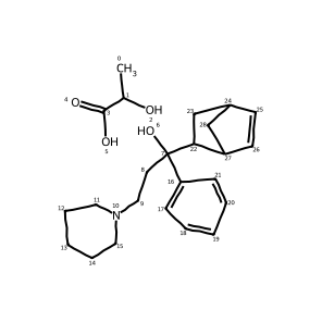 CC(O)C(=O)O.OC(CCN1CCCCC1)(c1ccccc1)C1CC2C=CC1C2